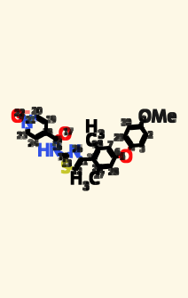 COc1ccc(Oc2cc(C)c(-c3csc(NC(=O)c4cc[n+]([O-])cc4)n3)c(C)c2)cc1